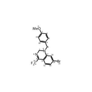 COc1ccc(CN2CN=C(C(F)(F)F)c3ccc(Br)cc32)cc1